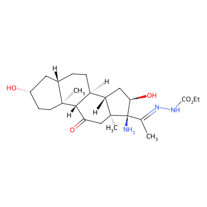 CCOC(=O)NN=C(C)[C@@]1(N)[C@H](O)C[C@H]2[C@@H]3CC[C@H]4C[C@@H](O)CC[C@]4(C)[C@H]3C(=O)C[C@@]21C